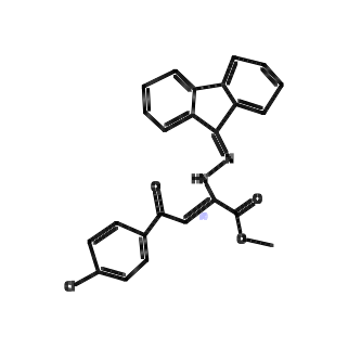 COC(=O)/C(=C/C(=O)c1ccc(Cl)cc1)NN=C1c2ccccc2-c2ccccc21